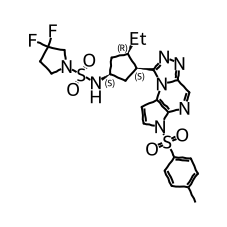 CC[C@@H]1C[C@H](NS(=O)(=O)N2CCC(F)(F)C2)C[C@@H]1c1nnc2cnc3c(ccn3S(=O)(=O)c3ccc(C)cc3)n12